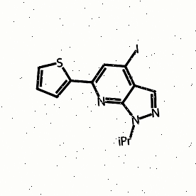 CC(C)n1ncc2c(I)cc(-c3cccs3)nc21